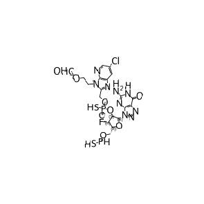 Nc1nc2c(nnn2[C@@H]2O[C@H](COPS)[C@@H](F)[C@H]2OP(=O)(S)OCc2nc3cc(Cl)cnc3n2CCOC=O)c(=O)[nH]1